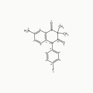 CC1(C)C(=O)c2cc(N)ccc2N(c2ccc(F)cc2)C1=O